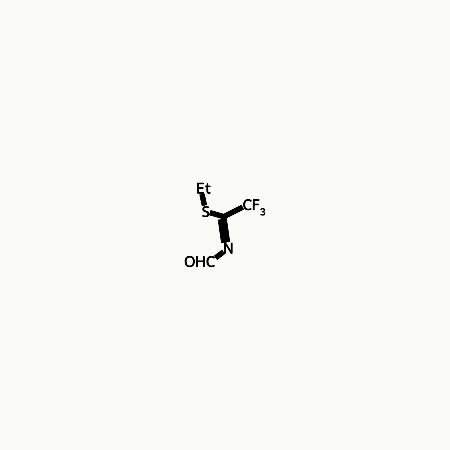 CCS/C(=N\C=O)C(F)(F)F